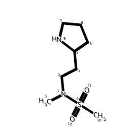 CN(CCC1CCCN1)S(C)(=O)=O